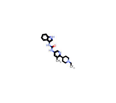 Cc1cc(NC(=O)Nc2c[nH]c3ccccc23)cnc1C1CCN(CC(F)(F)F)CC1